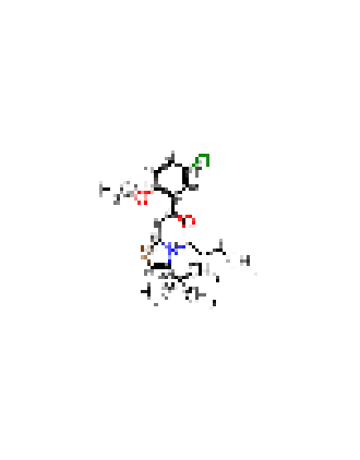 CCCCN1C(=CC(=O)c2cc(Cl)ccc2OC)SC=C1C(C)(C)C